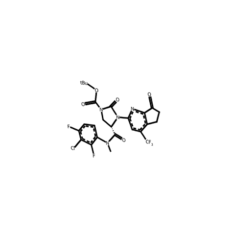 CN(C(=O)[C@@H]1CN(C(=O)OC(C)(C)C)C(=O)N1c1cc(C(F)(F)F)c2c(n1)C(=O)CC2)c1ccc(F)c(Cl)c1F